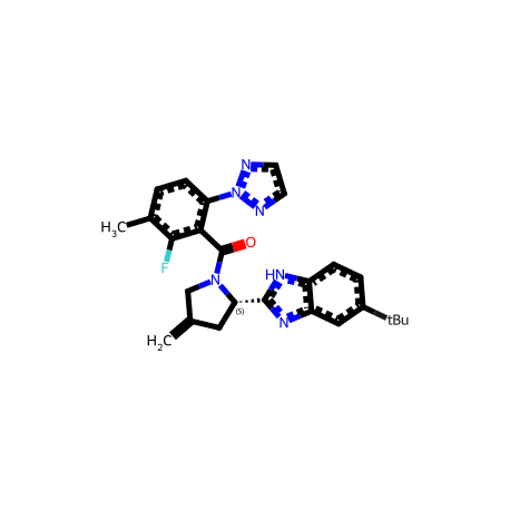 C=C1C[C@@H](c2nc3cc(C(C)(C)C)ccc3[nH]2)N(C(=O)c2c(-n3nccn3)ccc(C)c2F)C1